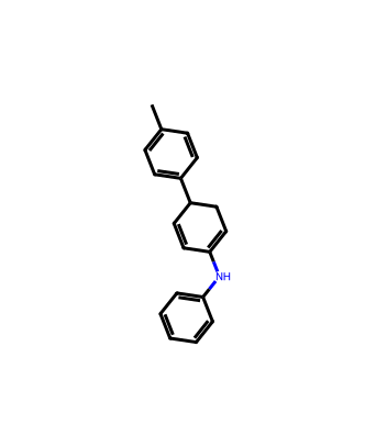 Cc1ccc(C2C=CC(Nc3ccccc3)=CC2)cc1